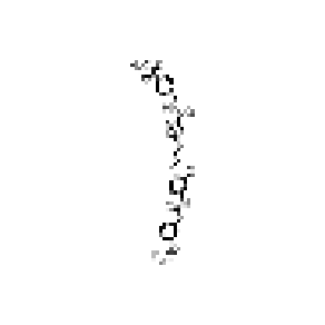 CS(=O)(=O)c1ccc(CNC(=O)c2cn(CCCCn3ccc(NC(=O)Cc4cccc(OC(F)(F)F)c4)cc3=O)nn2)cc1